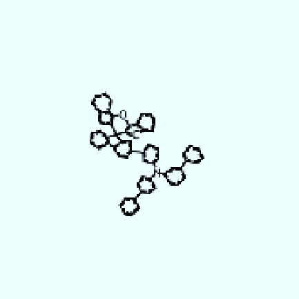 c1ccc(-c2ccc(N(c3cccc(-c4ccccc4)c3)c3cccc(-c4ccc5c(c4)C4(c6ccccc6-5)c5ccc6ccccc6c5Oc5c4ccc4ccccc54)c3)cc2)cc1